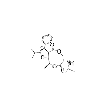 CC(C)N[C@H]1COC(=O)[C@H](Cc2ccccc2)[C@@H](OC(=O)C(C)C)[C@H](C)OC1=O